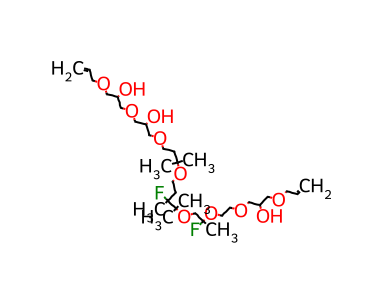 C=CCOCC(O)COCCOC(C)(F)COC(C)(C)C(C)(F)CCOC(C)(C)CCOCC(O)COCC(O)COCC=C